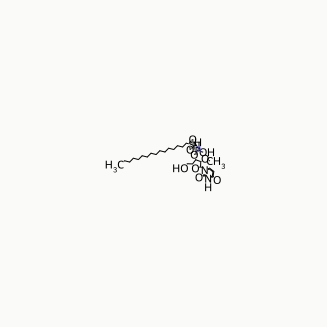 CCCCCCCCCCCCCCCCS(=O)(=O)/N=[PH](/O)OC1C(CO)OC(n2ccc(=O)[nH]c2=O)C1OC